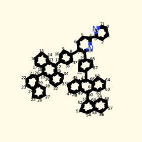 c1ccc(-c2ccc(-c3ccc(-c4c5ccccc5c(-c5cccc6ccccc56)c5ccccc45)cc3)c(-c3ccc(-c4c5ccccc5c(-c5cccc6ccccc56)c5ccccc45)cc3)n2)nc1